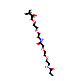 CCC(=O)NCCOCCOCC(=O)NCCOCCOCC(=O)C(C)C